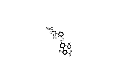 COC(=O)C[C@@H](O)c1cccc(OCc2ccc(-c3cc(C(F)F)ccc3F)c(C3=CCCC3(C)C)c2)c1F